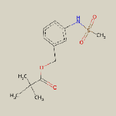 CC(C)(C)C(=O)OCc1cccc(NS(C)(=O)=O)c1